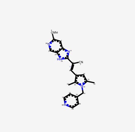 COc1cc2nc(/C(C#N)=C/c3cc(C)n(Cc4ccncc4)c3C)[nH]c2cn1